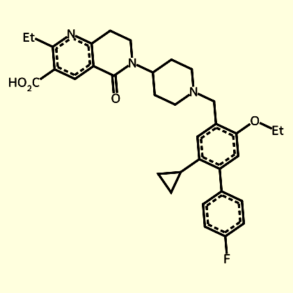 CCOc1cc(-c2ccc(F)cc2)c(C2CC2)cc1CN1CCC(N2CCc3nc(CC)c(C(=O)O)cc3C2=O)CC1